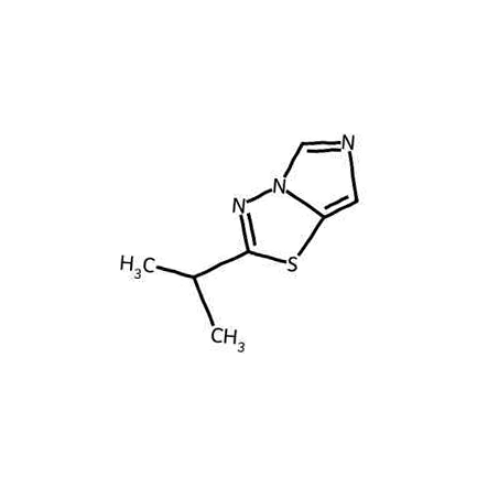 CC(C)c1nn2cncc2s1